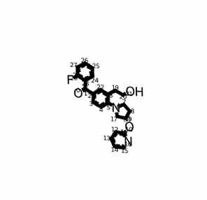 O=C(c1ccc(N2CC[C@H](Oc3ccccn3)C2)c(CCO)c1)c1ccccc1F